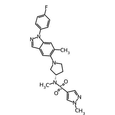 Cc1cc2c(cnn2-c2ccc(F)cc2)cc1N1CC[C@H](N(C)S(=O)(=O)c2cnn(C)c2)C1